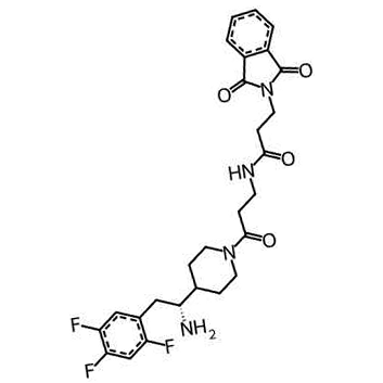 N[C@H](Cc1cc(F)c(F)cc1F)C1CCN(C(=O)CCNC(=O)CCN2C(=O)c3ccccc3C2=O)CC1